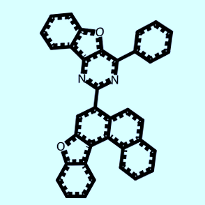 c1ccc(-c2nc(-c3cc4oc5ccccc5c4c4c3ccc3ccccc34)nc3c2oc2ccccc23)cc1